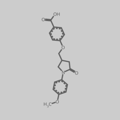 COc1ccc(N2CC(COc3ccc(C(=O)O)cc3)CC2=O)cc1